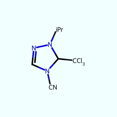 CC(C)N1N=CN(C#N)C1C(Cl)(Cl)Cl